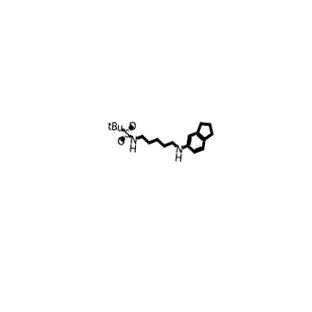 CC(C)(C)S(=O)(=O)NCCCCCNc1ccc2c(c1)CCC2